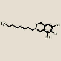 CCCCCCCCN1CCc2cc(O)c(O)c(O)c2C1